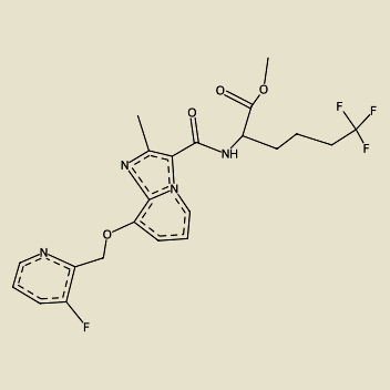 COC(=O)C(CCCC(F)(F)F)NC(=O)c1c(C)nc2c(OCc3ncccc3F)cccn12